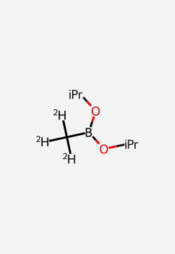 [2H]C([2H])([2H])B(OC(C)C)OC(C)C